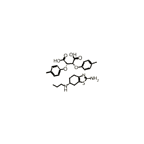 CCCN[C@H]1CCc2nc(N)sc2C1.Cc1ccc(O[C@H](C(=O)O)[C@H](Oc2ccc(C)cc2)C(=O)O)cc1